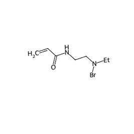 C=CC(=O)NCCN(Br)CC